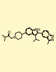 Cc1nnn2ccc(-c3[nH]c4ccc(C5CCN(CC(=O)N(C)C)CC5)cc4c3C(C)C)cc12